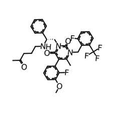 COc1cccc(-c2c(C)n(Cc3c(F)cccc3C(F)(F)F)c(=O)n(C[C@H](NCCCC(C)=O)c3ccccc3)c2=O)c1F